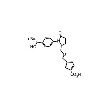 CCCC[C@@H](O)c1ccc(N2C(=O)CC[C@@H]2COCc2ccc(C(=O)O)s2)cc1